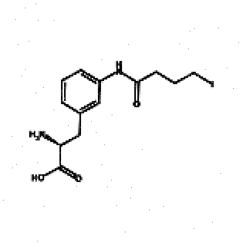 N[C@@H](Cc1cccc(NC(=O)CCCI)c1)C(=O)O